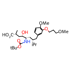 COCCCOc1cc(C[C@@H](C[C@H](NC(=O)OC(C)(C)C)[C@@H](O)C[C@@H](C)C(=O)O)C(C)C)ccc1OC